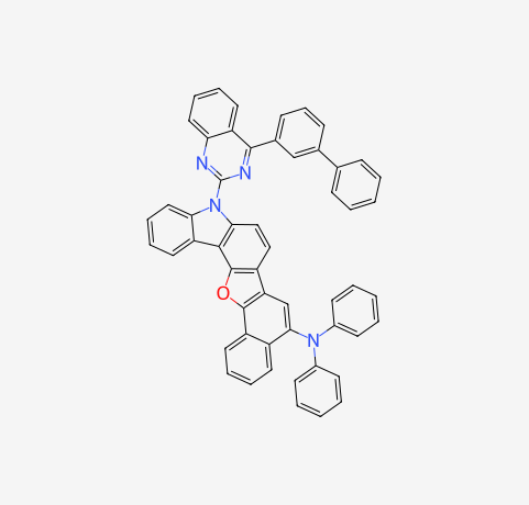 c1ccc(-c2cccc(-c3nc(-n4c5ccccc5c5c6oc7c8ccccc8c(N(c8ccccc8)c8ccccc8)cc7c6ccc54)nc4ccccc34)c2)cc1